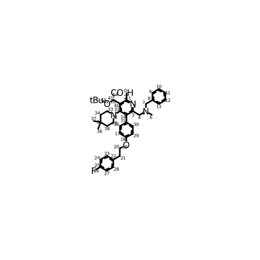 Cc1nc(CN(C)Cc2ccccc2)c(-c2ccc(OCCc3ccc(F)cc3)cc2)c(N2CCC(C)(C)CC2)c1[C@H](OC(C)(C)C)C(=O)O